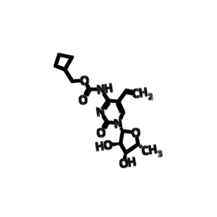 C=Cc1cn([C@@H]2O[C@H](C)[C@@H](O)[C@H]2O)c(=O)nc1NC(=O)OCC1CCC1